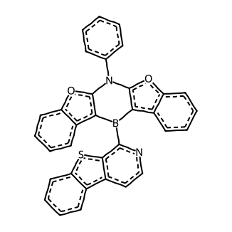 c1ccc(N2c3oc4ccccc4c3B(c3nccc4c3sc3ccccc34)c3c2oc2ccccc32)cc1